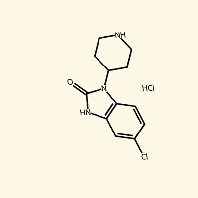 Cl.O=c1[nH]c2cc(Cl)ccc2n1C1CCNCC1